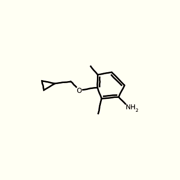 Cc1ccc(N)c(C)c1OCC1CC1